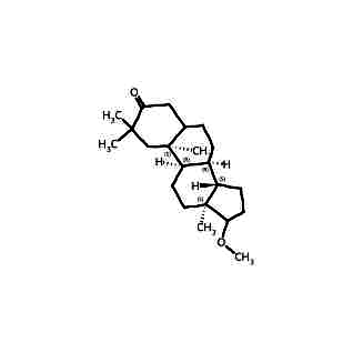 COC1CC[C@H]2[C@@H]3CCC4CC(=O)C(C)(C)C[C@]4(C)[C@@H]3CC[C@]12C